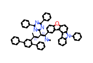 C=N/C(=C(\C=C(/C)c1cc(-c2ccccc2)ccc1-c1ccccc1)c1nc(-c2ccccc2)nc(-c2ccccc2)n1)c1ccc2oc3ccc4c(c5ccccc5n4-c4ccccc4)c3c2c1